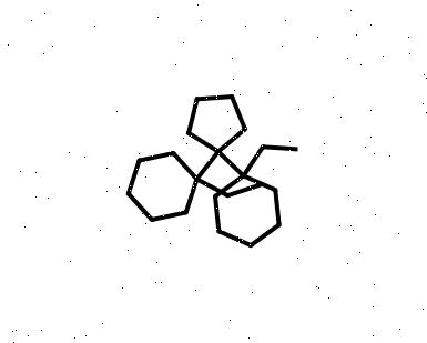 CCC1(C2(C3(CC)CCCCC3)CCCC2)CCCCC1